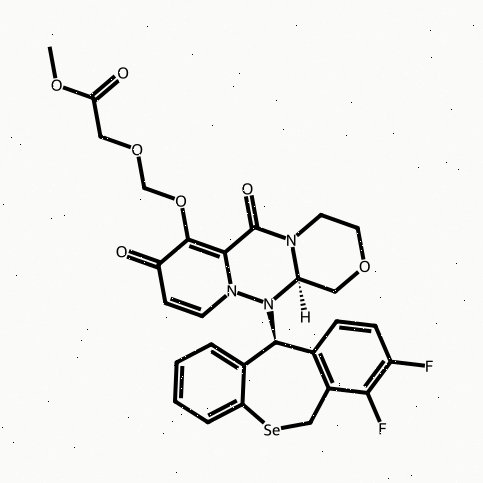 COC(=O)COCOc1c2n(ccc1=O)N([C@@H]1c3ccccc3[Se]Cc3c1ccc(F)c3F)[C@@H]1COCCN1C2=O